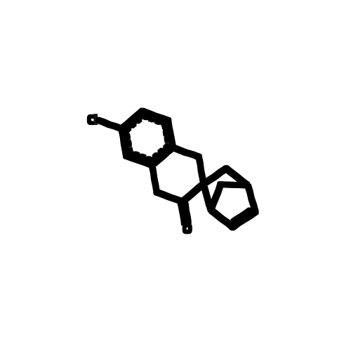 O=C1Cc2cc(Cl)ccc2CC12CC1C=CC2C1